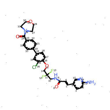 Nc1ccc(C=CC(=O)NCC(F)(F)COc2ccc(-c3ccc(C(=O)N4CCOCC4)cc3)cc2Cl)cn1